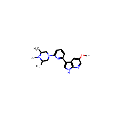 CCOc1cnc2[nH]cc(-c3cccc(N4CC(C)N(C(C)=O)C(C)C4)n3)c2c1